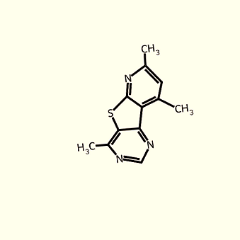 Cc1cc(C)c2c(n1)sc1c(C)ncnc12